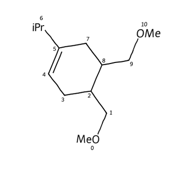 COCC1CC=C(C(C)C)CC1COC